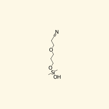 C[Si](C)(O)OCCCOCCC#N